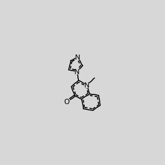 Cn1c(-n2ccnc2)cc(=O)c2ccccc21